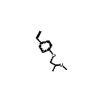 C=Cc1ccc(OCC(C)OC)cc1